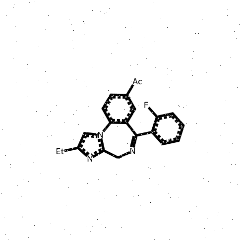 CCc1cn2c(n1)CN=C(c1ccccc1F)c1cc(C(C)=O)ccc1-2